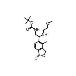 COCCNC(CNC(=O)OC(C)(C)C)c1ccc2c(c1C)COC2=O